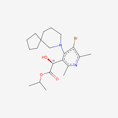 Cc1nc(C)c([C@H](O)C(=O)OC(C)C)c(N2CCCC3(CCCC3)C2)c1Br